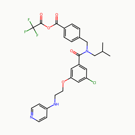 CC(C)CN(Cc1ccc(C(=O)OC(=O)C(F)(F)F)cc1)C(=O)c1cc(Cl)cc(OCCNc2ccncc2)c1